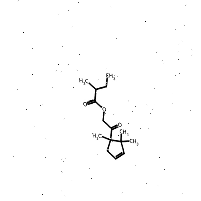 CCC(C)C(=O)OCC(=O)C1(C)CC=CC1(C)C